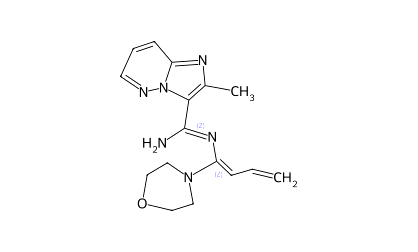 C=C/C=C(\N=C(/N)c1c(C)nc2cccnn12)N1CCOCC1